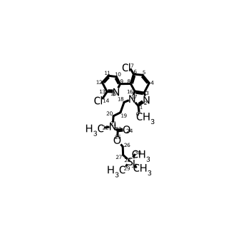 Cc1nc2ccc(Cl)c(-c3cccc(Cl)n3)c2n1CCCN(C)C(=O)OCC[Si](C)(C)C